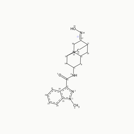 Cn1nc(C(=O)NC2CC3CC4CC(C2)N3C/C4=N\O)c2ccccc21